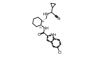 N#CC(NC[C@H]1CCCC[C@@H]1NC(=O)c1cc2cc(Cl)ccc2[nH]1)C1CC1